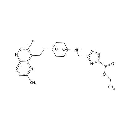 CCOC(=O)c1csc(CNC23CCC(CCc4c(F)cnc5ccc(C)nc45)(CC2)OC3)n1